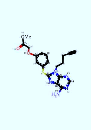 C#CCCCn1c(Sc2cccc(OCC(=O)OC)c2)nc2c(N)ncnc21